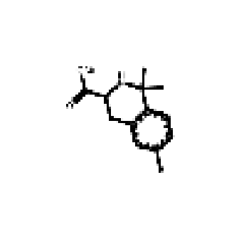 COC(=O)C1Cc2cc(C)ccc2C(C)(C)N1